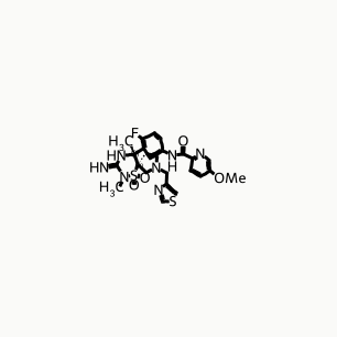 COc1ccc(C(=O)Nc2ccc(F)c([C@@]3(C)NC(=N)N(C)S(=O)(=O)[C@@]34CCN(Cc3cscn3)C4)c2)nc1